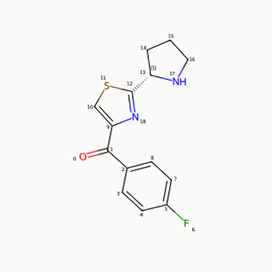 O=C(c1ccc(F)cc1)c1csc([C@@H]2CCCN2)n1